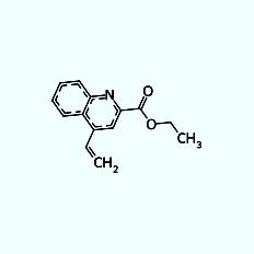 C=Cc1cc(C(=O)OCC)nc2ccccc12